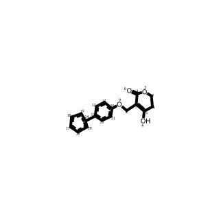 O=C1OCCC(O)=C1COc1ccc(-c2ccccc2)cc1